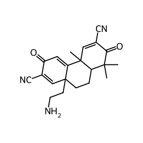 CC1(C)C(=O)C(C#N)=CC2(C)C3=CC(=O)C(C#N)=CC3(CCN)CCC12